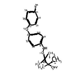 CC(C)(O)C(C)(C)OBc1ccc(Oc2ccc(F)cc2)cc1